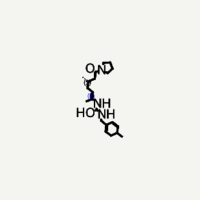 C/C(=C\C[C@H](C)CC(=O)N1CCCC1)NC(O)NCC1=CCC(C)C=C1